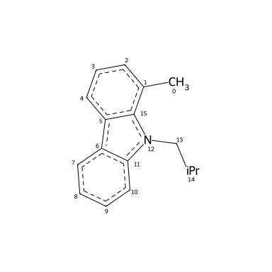 Cc1cccc2c3ccccc3n(CC(C)C)c12